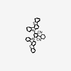 N#Cc1c(-n2c3ccccc3c3c4sc5ccccc5c4ccc32)cc(-n2c3ccccc3c3c4sc5ccccc5c4ccc32)c(C#N)c1C1CCCCC1